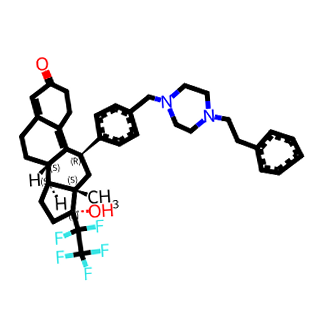 C[C@]12C[C@H](c3ccc(CN4CCN(CCc5ccccc5)CC4)cc3)C3=C4CCC(=O)C=C4CC[C@H]3[C@@H]1CC[C@]2(O)C(F)(F)C(F)(F)F